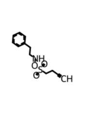 C#CCCS(=O)(=O)ONCCc1ccccc1